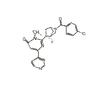 Cn1c(N2CC3C[C@H]2CN3C(=O)c2ccc(Cl)cc2)nc(-c2ccncn2)cc1=O